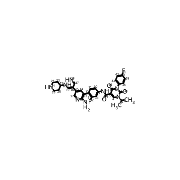 CC(C)n1cc(C(=O)Nc2ccc(-c3cc(/C(C=N)=C/NC4CCNCC4)cnc3N)c(F)c2)c(=O)n(-c2ccc(F)cc2)c1=O